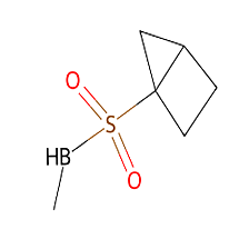 CBS(=O)(=O)C12CCC1C2